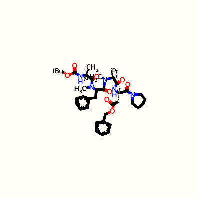 CC(C)[C@@H](C(=O)N[C@@H](CC(=O)OCc1ccccc1)C(=O)N1CCCCC1)N(C)C(=O)C(Cc1ccccc1)N(C)C(=O)[C@H](C)NC(=O)OC(C)(C)C